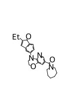 CCC1=Cc2cc(N3CCOc4cc(C(=O)N5CCCCCC5)cnc43)ccc2C1=O